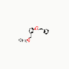 O=COCCc1cccc(OCCc2ccccc2)c1